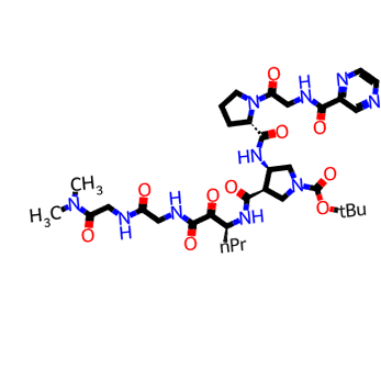 CCC[C@H](NC(=O)[C@@H]1CN(C(=O)OC(C)(C)C)C[C@@H]1NC(=O)[C@@H]1CCCN1C(=O)CNC(=O)c1cnccn1)C(=O)C(=O)NCC(=O)NCC(=O)N(C)C